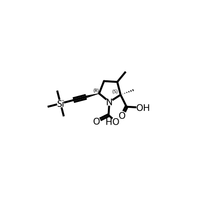 CC1C[C@H](C#C[Si](C)(C)C)N(C(=O)O)[C@]1(C)C(=O)O